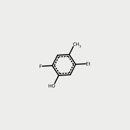 CCc1cc(O)c(F)cc1C